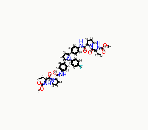 CC[C@H](NC(=O)OC)C(=O)N1CCC[C@H]1C(=O)Nc1ccc([C@H]2CC[C@H](c3ccc(NC(=O)[C@@H]4CCCN4C(=O)[C@H](CC)NC(=O)OC)cc3)N2c2ccc(F)cc2)cc1